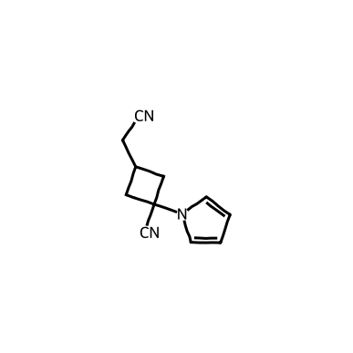 N#CCC1CC(C#N)(n2cccc2)C1